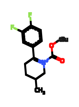 CC1CCC(c2ccc(F)c(F)c2)=[N+](C(=O)OC(C)(C)C)C1